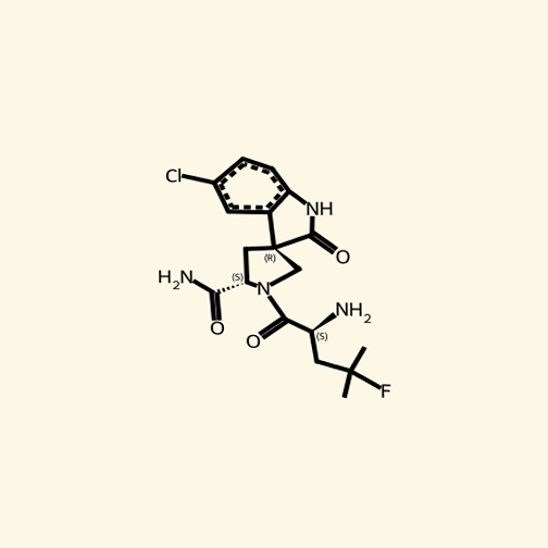 CC(C)(F)C[C@H](N)C(=O)N1C[C@]2(C[C@H]1C(N)=O)C(=O)Nc1ccc(Cl)cc12